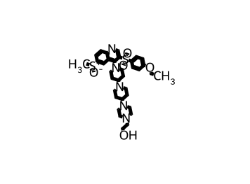 CCOc1ccc(S(=O)(=O)c2cnc3ccc([S+](C)[O-])cc3c2N2CCC(N3CCC(N4CCN(CCO)CC4)CC3)CC2)cc1